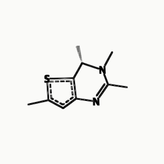 CC1=Nc2cc(C)sc2[C@H](C)N1C